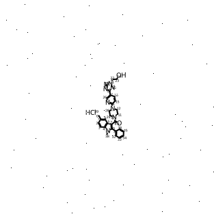 Cc1ccc2c(c1)c(C(=O)N1CCN(c3ccc(-c4nnn(CCO)n4)cn3)CC1)c(-c1ccccc1)n2C.Cl